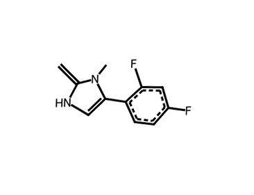 C=C1NC=C(c2ccc(F)cc2F)N1C